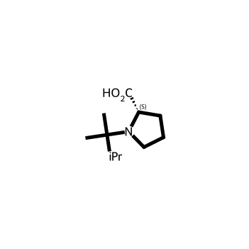 CC(C)C(C)(C)N1CCC[C@H]1C(=O)O